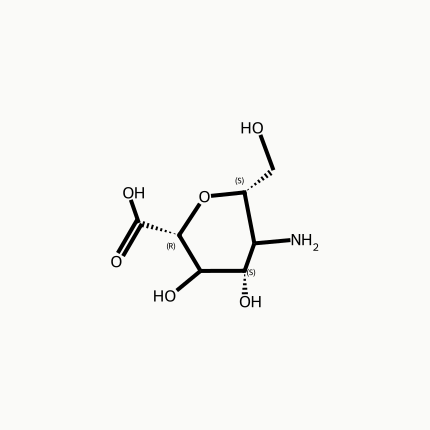 NC1[C@H](O)C(O)[C@H](C(=O)O)O[C@@H]1CO